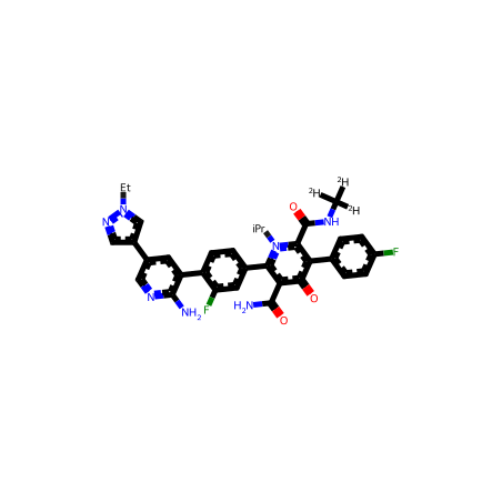 [2H]C([2H])([2H])NC(=O)c1c(-c2ccc(F)cc2)c(=O)c(C(N)=O)c(-c2ccc(-c3cc(-c4cnn(CC)c4)cnc3N)c(F)c2)n1C(C)C